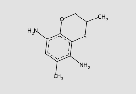 Cc1cc(N)c2c(c1N)SC(C)CO2